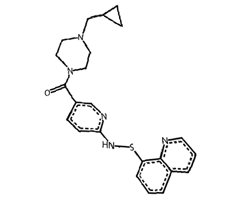 O=C(c1ccc(NSc2cccc3cccnc23)nc1)N1CCN(CC2CC2)CC1